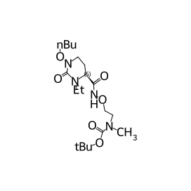 CCCCON1CC[C@@H](C(=O)NOCCN(C)C(=O)OC(C)(C)C)N(CC)C1=O